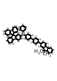 CC1(C)c2ccccc2-c2ccc(-c3ccc(-c4ccc(N(c5ccccc5)c5ccc6c(c5)C(c5ccccc5)(c5ccccc5)c5ccccc5-6)cc4)cc3)cc21